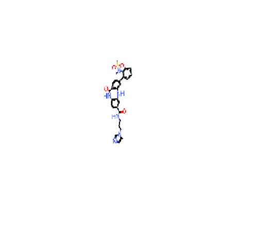 CN(c1ccccc1-c1ccc2c(c1)Nc1cc(C(=O)NCCCn3ccnc3)ccc1NC2=O)S(C)(=O)=O